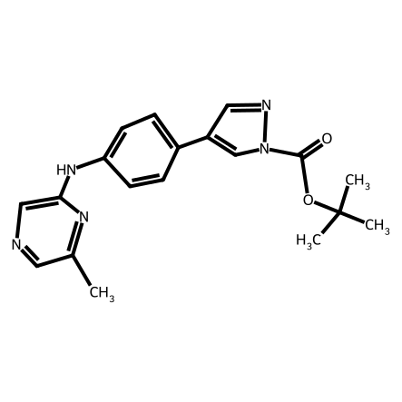 Cc1cncc(Nc2ccc(-c3cnn(C(=O)OC(C)(C)C)c3)cc2)n1